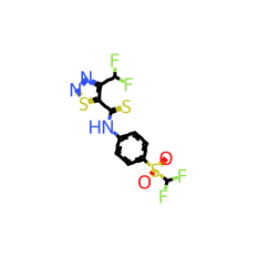 O=S(=O)(c1ccc(NC(=S)c2snnc2C(F)F)cc1)C(F)F